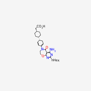 CCCCCCc1nc(N)c2c(n1)OCCN(C1=CCC([C@H]3CC[C@H](CC(=O)O)CC3)C=C1)C2=O